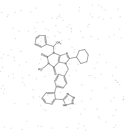 CC(c1ccccc1)n1c(=O)n(C)c(=O)c2c1nc(C1CCCCC1)n2Cc1ccc(-c2ccccc2-c2nnn[nH]2)cc1